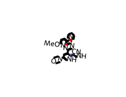 COc1ccc(CN2C3CC2CN(c2cnc(C4=CC(N5CCOCC5)=CN/C4=C(/C#N)C=N)cn2)C3)cn1